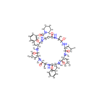 CC(C)C[C@@H]1NC(=O)[C@H](C)NC(=O)C[C@@H](C(=O)N2CCCCC2)NC(=O)[C@H](Cc2ccccc2)N(C)C(=O)[C@H](CC(C)C)N(C)C(=O)[C@H](C)NC(=O)[C@H](Cc2ccccc2)N(C)C(=O)[C@H](CC(C)C)N(C)C1=O